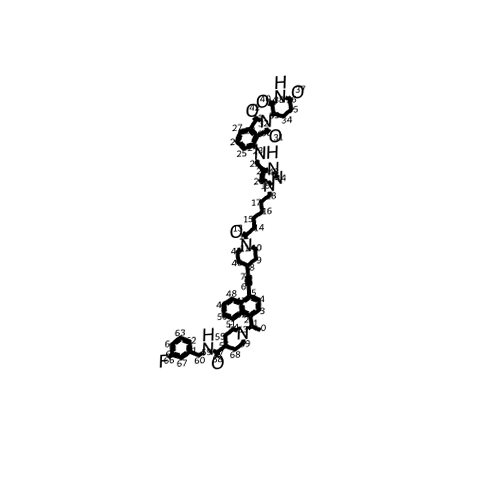 CC(c1ccc(C#CC2CCN(C(=O)CCCCCn3cc(CNc4cccc5c4C(=O)N(C4CCC(=O)NC4=O)C5=O)nn3)CC2)c2ccccc12)N1CCC(C(=O)NCc2cccc(F)c2)CC1